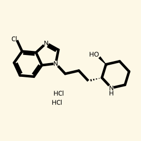 Cl.Cl.O[C@H]1CCCN[C@@H]1CCCn1cnc2c(Cl)cccc21